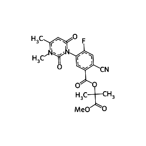 COC(=O)C(C)(C)OC(=O)c1cc(-n2c(=O)cc(C)n(C)c2=O)c(F)cc1C#N